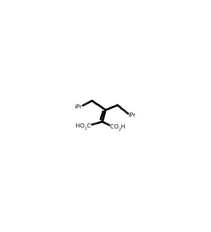 CC(C)CC(CC(C)C)=C(C(=O)O)C(=O)O